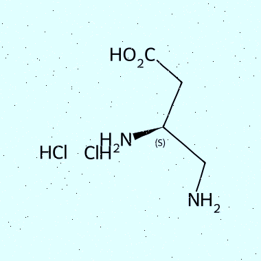 Cl.Cl.NC[C@@H](N)CC(=O)O